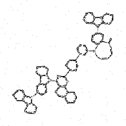 C=C1/C=C\C=C/CN(c2cccc(-c3ccc(-c4nc(-n5c6ccccc6c6cc(-n7c8ccccc8c8ccccc87)ccc65)c5ccc6ccccc6c5n4)cc3)c2)c2ccc(-n3c4ccccc4c4ccccc43)cc21